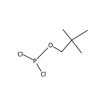 CC(C)(C)COP(Cl)Cl